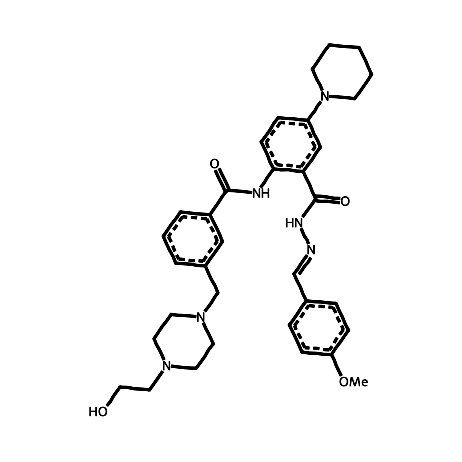 COc1ccc(C=NNC(=O)c2cc(N3CCCCC3)ccc2NC(=O)c2cccc(CN3CCN(CCO)CC3)c2)cc1